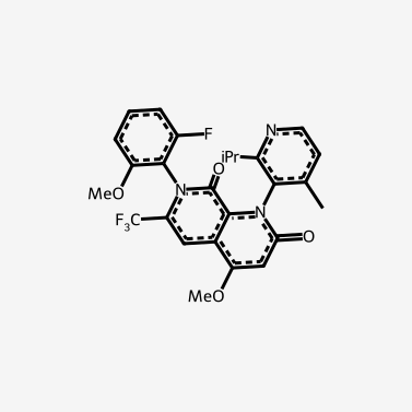 COc1cccc(F)c1-n1c(C(F)(F)F)cc2c(OC)cc(=O)n(-c3c(C)ccnc3C(C)C)c2c1=O